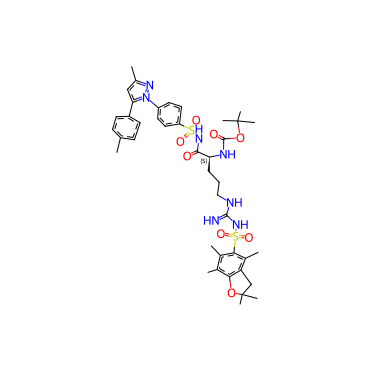 Cc1ccc(-c2cc(C)nn2-c2ccc(S(=O)(=O)NC(=O)[C@H](CCCNC(=N)NS(=O)(=O)c3c(C)c(C)c4c(c3C)CC(C)(C)O4)NC(=O)OC(C)(C)C)cc2)cc1